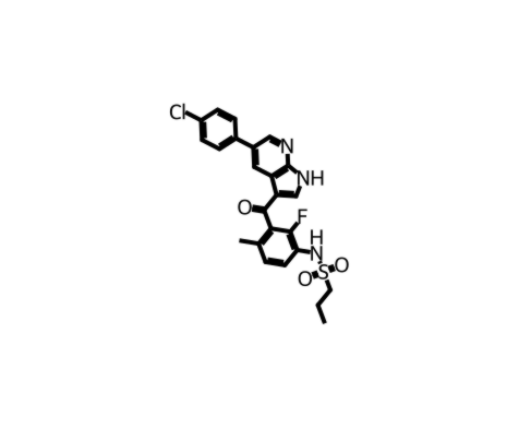 CCCS(=O)(=O)Nc1ccc(C)c(C(=O)c2c[nH]c3ncc(-c4ccc(Cl)cc4)cc23)c1F